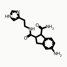 NC(=O)C1[C](C(=O)NCCc2c[nH]cn2)Cc2cc(N)ccc21